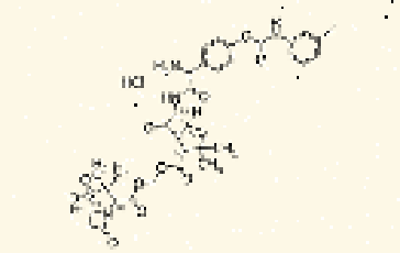 CC1(C)S[C@@H]2[C@H](NC(=O)C(N)c3ccc(OC(=O)Nc4cccc(I)c4)cc3)C(=O)N2[C@H]1C(=O)OCOC(=O)[C@@H]1N2C(=O)C[C@H]2S(=O)(=O)C1(C)C.Cl